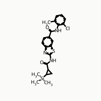 Cc1cccc(Cl)c1NC(=O)c1ccc2nc(NC(=O)C3CC3[Si](C)(C)C)sc2c1